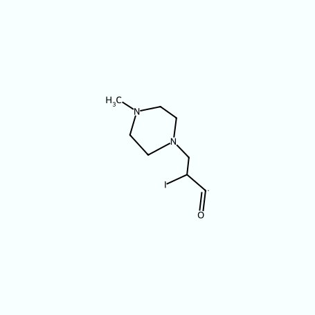 CN1CCN(CC(I)[C]=O)CC1